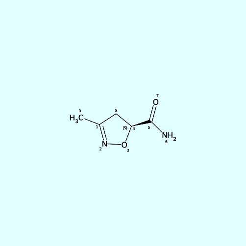 CC1=NO[C@H](C(N)=O)C1